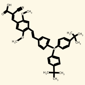 COc1cc(/C=C(\C#N)C(=O)O)c(OC)cc1/C=C/c1ccc(N(c2ccc(C(C)(C)C)cc2)c2ccc(C(C)(C)C)cc2)cc1